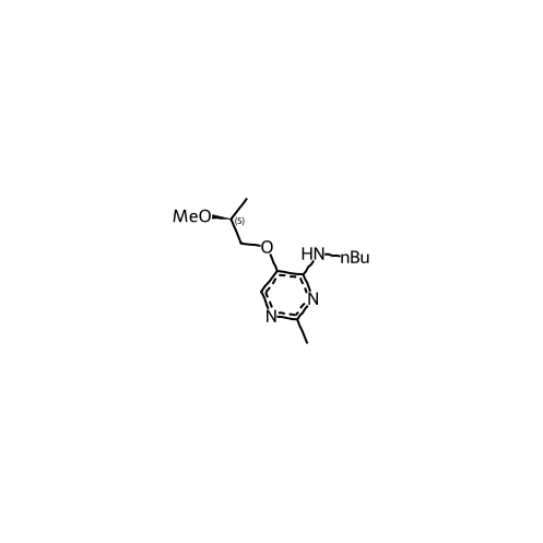 CCCCNc1nc(C)ncc1OC[C@H](C)OC